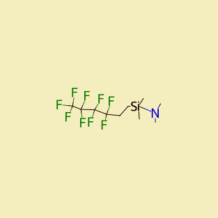 CN(C)[Si](C)(C)CCC(F)(F)C(F)(F)C(F)(F)C(F)(F)F